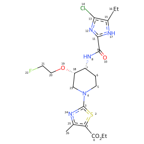 CCOC(=O)c1sc(N2CC[C@@H](NC(=O)c3nc(Cl)c(CC)[nH]3)[C@@H](OCCF)C2)nc1C